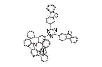 c1ccc(-c2cc(-c3nc(-c4ccc5c(c4)oc4ccccc45)nc(-c4ccc5c(c4)oc4ccccc45)n3)cc(-c3ccccc3)c2-n2c3ccccc3c3ccc4c5ccccc5n(-c5ccccc5)c4c32)cc1